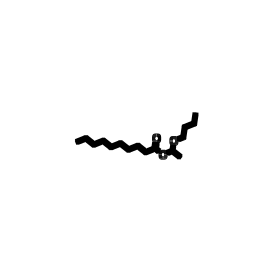 CCCCCCCCCC(=O)OC(C)OCCCC